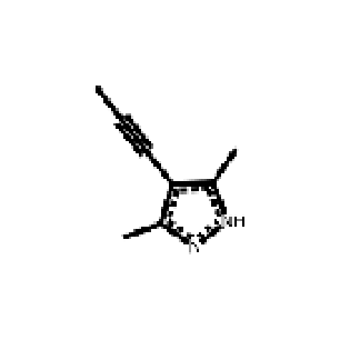 CC#Cc1c(C)n[nH]c1C